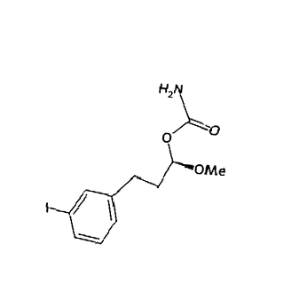 CO[C@@H](CCc1cccc(I)c1)OC(N)=O